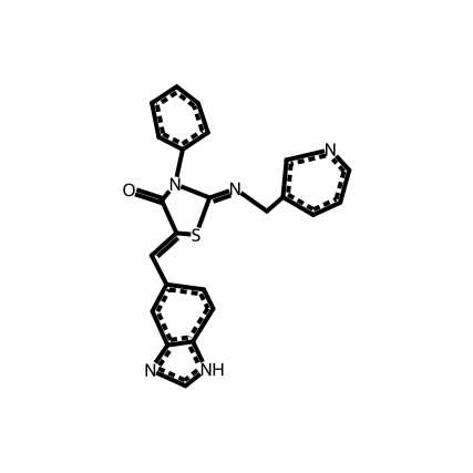 O=C1C(=Cc2ccc3[nH]cnc3c2)SC(=NCc2cccnc2)N1c1ccccc1